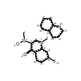 Cn1cc([S+](C)[O-])c(=O)c2ccc(F)cc21.c1ccc2ncccc2c1